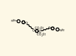 CCC[C@H]1CC[C@H](c2ccc(OCCCCCCOc3cc(C(=O)OCC)c(OCCCCCCOc4ccc([C@H]5CC[C@H](CCC)CC5)cc4)cc3C(=O)OCC)cc2)CC1